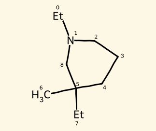 CCN1CCCC(C)(CC)C1